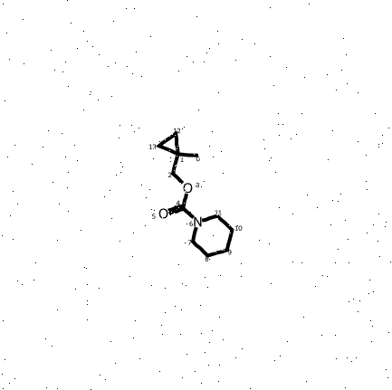 CC1(COC(=O)N2CCCCC2)CC1